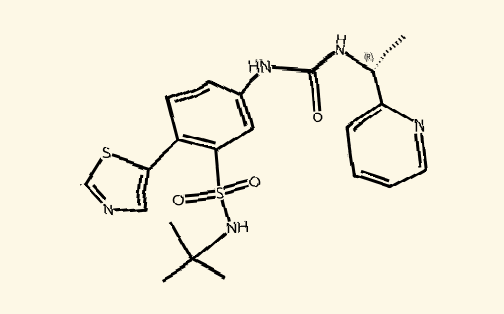 C[C@@H](NC(=O)Nc1ccc(-c2cn[c]s2)c(S(=O)(=O)NC(C)(C)C)c1)c1ccccn1